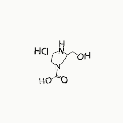 Cl.O=C(O)N1CCNC(CO)C1